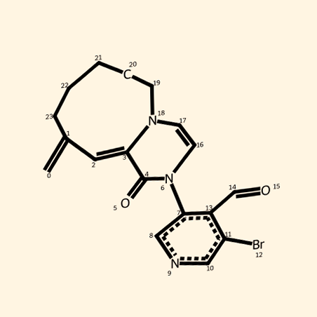 C=C1/C=C2/C(=O)N(c3cncc(Br)c3C=O)C=CN2CCCCC1